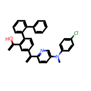 C=C(c1ccc(-c2ccccc2-c2ccccc2)c(C(=C)O)c1)c1ccc(N(C)c2ccc(Cl)cc2)cn1